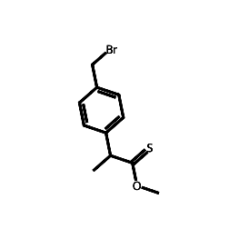 COC(=S)C(C)c1ccc(CBr)cc1